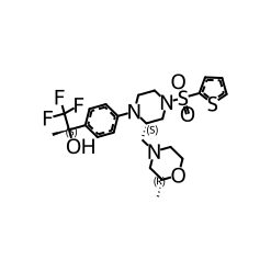 C[C@@H]1CN(C[C@H]2CN(S(=O)(=O)c3cccs3)CCN2c2ccc([C@](C)(O)C(F)(F)F)cc2)CCO1